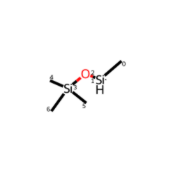 C[SiH]O[Si](C)(C)C